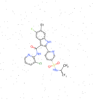 CCc1cc2[nH]c(-c3ccc(S(=O)(=O)N[C@@H](C)C(F)(F)F)cn3)c(C(=O)Nc3ncccc3Cl)c2cc1F